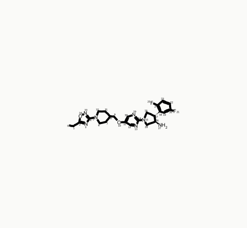 CCc1nc(N2CCC(COc3cnc(N4C[C@H](c5cc(F)ccc5F)[C@@H](N)C4)nc3)CC2)no1